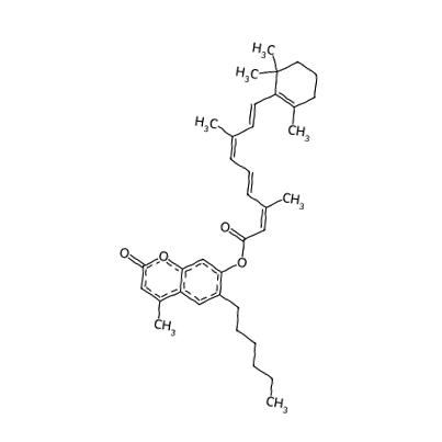 CCCCCCc1cc2c(C)cc(=O)oc2cc1OC(=O)C=C(C)C=CC=C(C)C=CC1=C(C)CCCC1(C)C